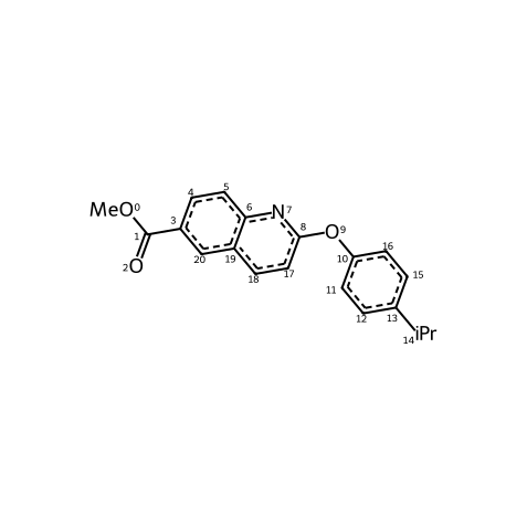 COC(=O)c1ccc2nc(Oc3ccc(C(C)C)cc3)ccc2c1